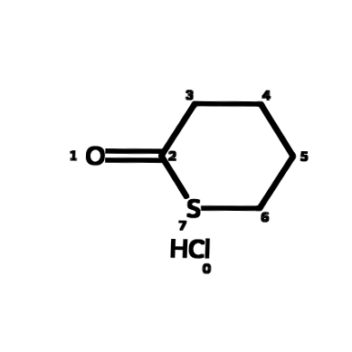 Cl.O=C1CCCCS1